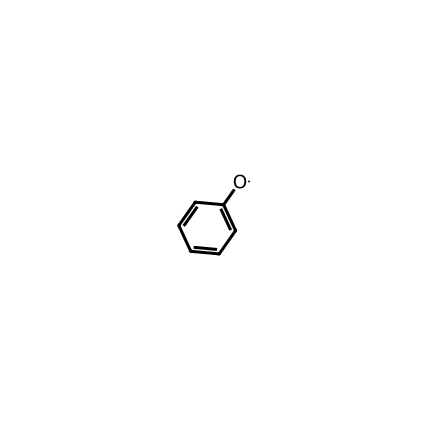 [O]c1ccccc1